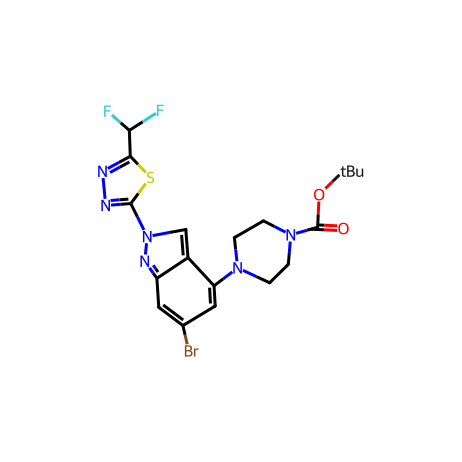 CC(C)(C)OC(=O)N1CCN(c2cc(Br)cc3nn(-c4nnc(C(F)F)s4)cc23)CC1